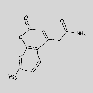 NC(=O)Cc1cc(=O)oc2cc(O)ccc12